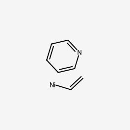 C=[CH][Ni].c1ccncc1